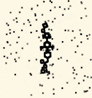 CCOC(=O)CC1CCN(c2c(F)cc(-c3nc(OC4CCC4)cs3)cc2F)CC1